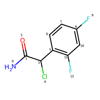 NC(=O)C(Cl)c1ccc(F)cc1F